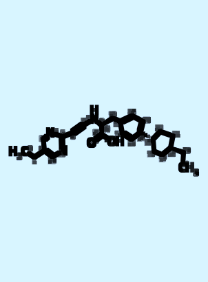 CCc1cnc(C#CN[C@@H](Cc2ccc([C@H]3CC[C@H](CC)CC3)cc2)C(=O)O)nc1